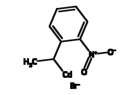 C[CH]([Cd])c1ccccc1[N+](=O)[O-].[Br-]